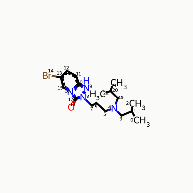 CC(C)CN(CCCn1[nH]c2ccc(Br)c[n+]2c1=O)CC(C)C